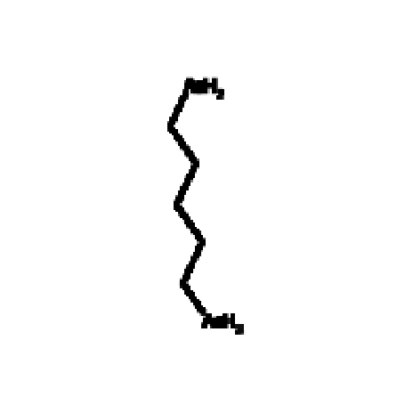 [AsH2]CCCCC[AsH2]